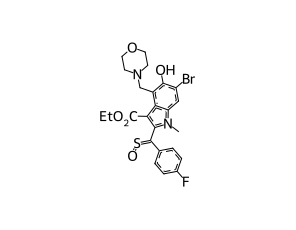 CCOC(=O)c1c(C(=S=O)c2ccc(F)cc2)n(C)c2cc(Br)c(O)c(CN3CCOCC3)c12